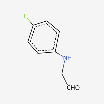 O=CCNc1ccc(F)cc1